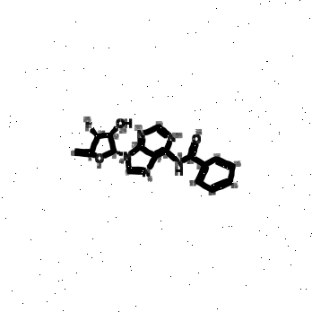 C=C1O[C@@H](n2cnc3c(NC(=O)c4ccccc4)ncnc32)[C@H](O)[C@@H]1F